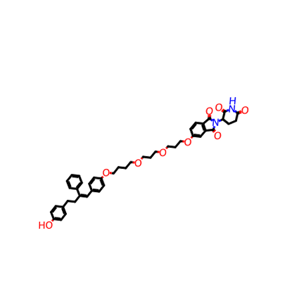 O=C1CCC(N2C(=O)c3ccc(OCCCOCCCOCCCCOc4ccc(/C=C(/CCc5ccc(O)cc5)c5ccccc5)cc4)cc3C2=O)C(=O)N1